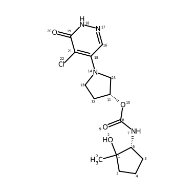 CC1(O)CCC[C@H]1NC(=O)O[C@@H]1CCN(c2cn[nH]c(=O)c2Cl)C1